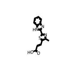 Cc1nc(-c2nc3ccccc3[nH]2)sc1/C=C/C(=O)O